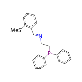 CSc1ccccc1C=NCCP(c1ccccc1)c1ccccc1